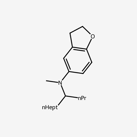 CCCCCCCC(CCC)N(C)c1ccc2c(c1)CCO2